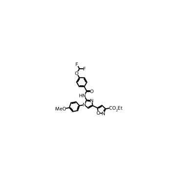 CCOC(=O)c1cc(-c2cn(-c3ccc(OC)cc3)c(NC(=O)c3ccc(OC(F)F)cc3)n2)on1